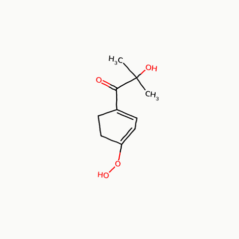 CC(C)(O)C(=O)C1=CC=C(OO)CC1